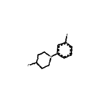 FC1CCN(c2cccc(I)c2)CC1